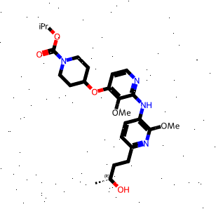 COc1nc(CC[C@@H](C)O)ccc1Nc1nccc(OC2CCN(C(=O)OC(C)C)CC2)c1OC